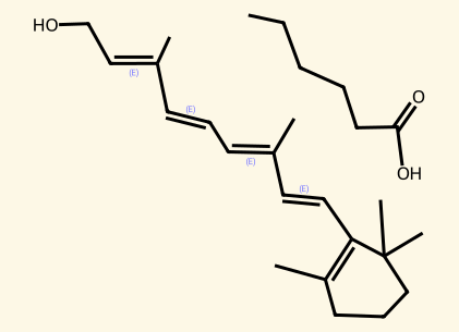 CC1=C(/C=C/C(C)=C/C=C/C(C)=C/CO)C(C)(C)CCC1.CCCCCC(=O)O